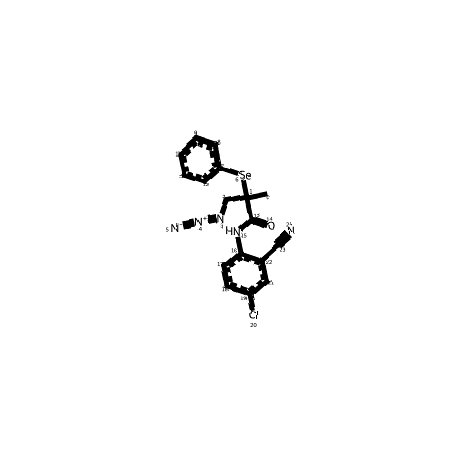 CC(CN=[N+]=[N-])([Se]c1ccccc1)C(=O)Nc1ccc(Cl)cc1C#N